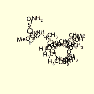 CC[C@H]1OC(=O)[C@H](C)[C@@H](O[C@H]2C[C@@](C)(OC)[C@@H](O)[C@H](C)O2)[C@H](C)[C@@H](O[C@H]2C[C@@H](N(C)CCC3=CN([C@H](CF)[C@H](OC)c4ccc(SCC(N)=O)cc4)NN3)C[C@@H](C)O2)[C@](C)(O)C[C@@H](C)CN(C)[C@H](C)[C@@H](O)[C@]1(C)O